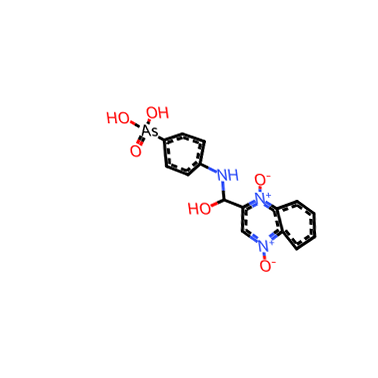 O=[As](O)(O)c1ccc(NC(O)c2c[n+]([O-])c3ccccc3[n+]2[O-])cc1